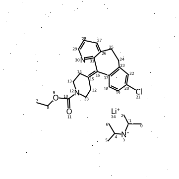 CC(C)[N-]C(C)C.CCOC(=O)N1CCC(=C2c3ccc(Cl)cc3CCc3cccnc32)CC1.[Li+]